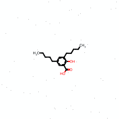 CCCCCc1cc(CCCCC)c(O)c(C(=O)O)c1